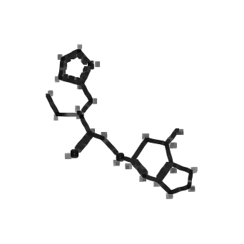 CCN(Cc1cccs1)C(=O)COC1=CC2=C(CCC2)C(C)C1